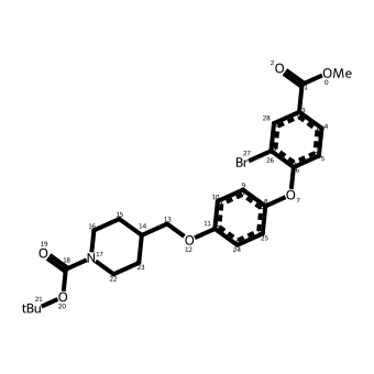 COC(=O)c1ccc(Oc2ccc(OCC3CCN(C(=O)OC(C)(C)C)CC3)cc2)c(Br)c1